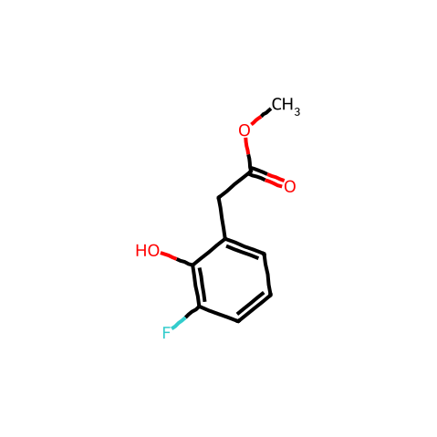 COC(=O)Cc1cccc(F)c1O